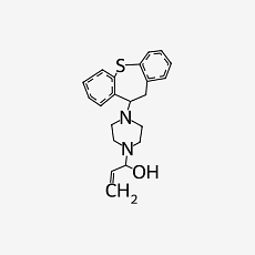 C=CC(O)N1CCN(C2Cc3ccccc3Sc3ccccc32)CC1